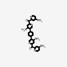 Nc1ccnc(C(=O)c2cc(N)c(-c3ccc(-c4cnc(C(=O)c5cc(N)ccn5)cc4N)cc3)cn2)c1